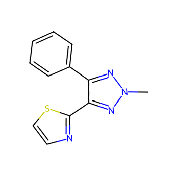 Cn1nc(-c2ccccc2)c(-c2nccs2)n1